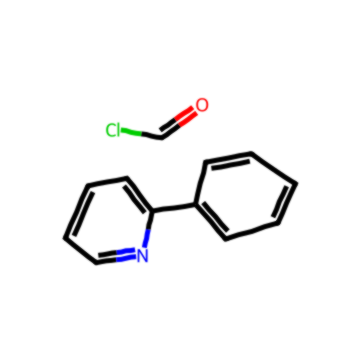 O=CCl.c1ccc(-c2ccccn2)cc1